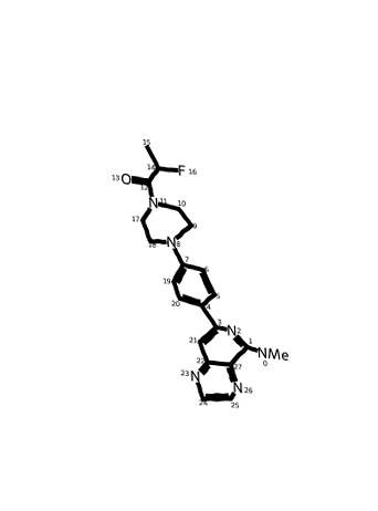 CNc1nc(-c2ccc(N3CCN(C(=O)C(C)F)CC3)cc2)cc2nccnc12